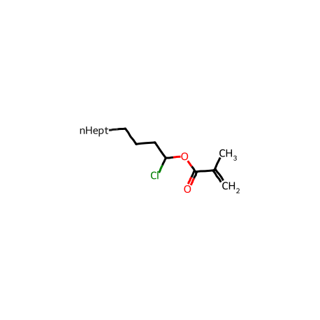 C=C(C)C(=O)OC(Cl)CCCCCCCCCC